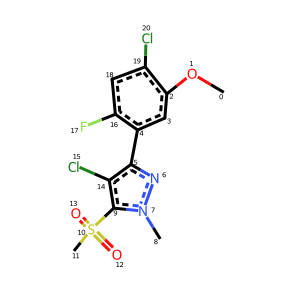 COc1cc(-c2nn(C)c(S(C)(=O)=O)c2Cl)c(F)cc1Cl